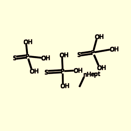 CCCCCCCC.OP(O)(O)=S.OP(O)(O)=S.OP(O)(O)=S